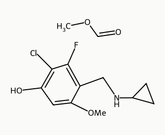 COC=O.COc1cc(O)c(Cl)c(F)c1CNC1CC1